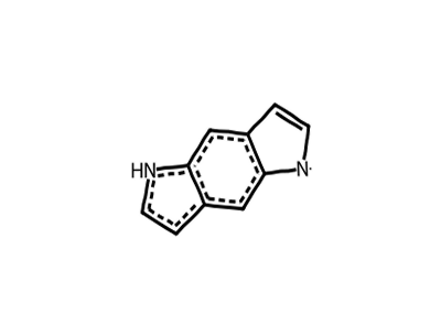 C1=Cc2cc3[nH]ccc3cc2[N]1